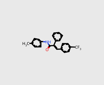 Cc1ccc(NC(=O)C(=Cc2ccc(C(F)(F)F)cc2)c2ccccc2)cc1